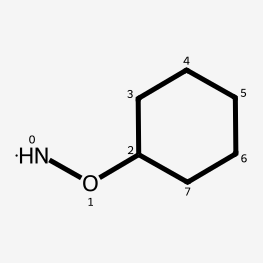 [NH]OC1CCCCC1